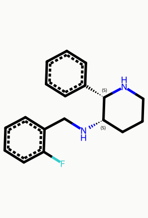 Fc1ccccc1CN[C@H]1CCCN[C@H]1c1ccccc1